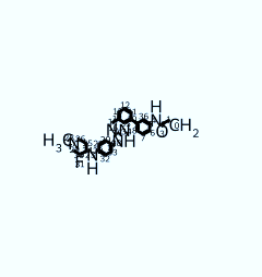 C=CC(=O)Nc1cccc(-c2cccc3cnc(Nc4ccc(NC5CCN(C)CC5F)cc4)nc23)c1